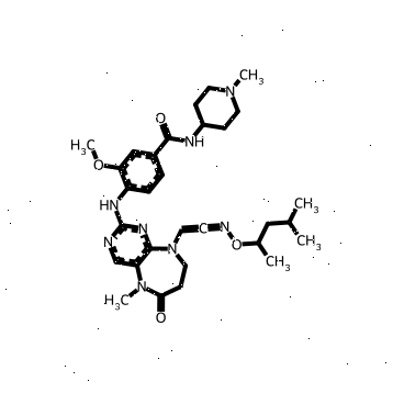 COc1cc(C(=O)NC2CCN(C)CC2)ccc1Nc1ncc2c(n1)N(C=C=NOC(C)CC(C)C)CCC(=O)N2C